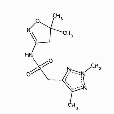 Cc1nn(C)nc1CS(=O)(=O)NC1=NOC(C)(C)C1